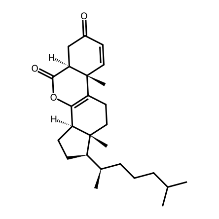 CC(C)CCC[C@@H](C)[C@H]1CC[C@H]2C3=C(CC[C@]12C)[C@@]1(C)C=CC(=O)C[C@@H]1C(=O)O3